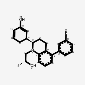 C[C@@H](O)CN1c2cccc(-c3cccc(F)c3)c2CC[C@@H]1C1C=C(O)C=CC1